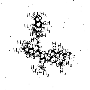 CC(=O)N1C(C(=O)N(C)[C@@H](CCCNC(=N)NS(=O)(=O)c2c(C)c(C)c3c(c2C)CC(C)(C)O3)C(=O)N[C@@H](COC(C)(C)C)C(=O)N[C@@H](CC(=O)OC(C)(C)C)C(=O)N[C@H](C(=O)O)C(C)OC(C)(C)C)C(C)(C)SC1(C)C